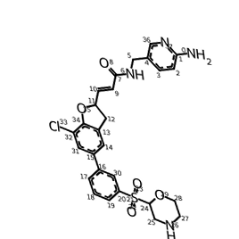 Nc1ccc(CNC(=O)C=CC2Cc3cc(-c4cccc(S(=O)(=O)C5CNCCO5)c4)cc(Cl)c3O2)cn1